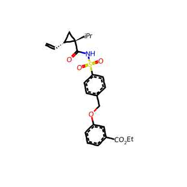 C=C[C@@H]1C[C@@]1(C(=O)NS(=O)(=O)c1ccc(COc2cccc(C(=O)OCC)c2)cc1)C(C)C